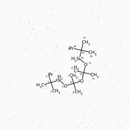 CC(C)C(C)(C)[SiH2]OC(C)(C)OC(C)(C)O[SiH2]C(C)(C)C(C)C